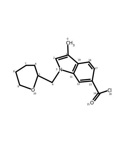 Cc1cn(CC2CCCCO2)c2cc(C(=O)Cl)ccc12